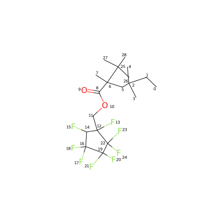 CCC(C)(C)CC(C)(C(=O)OCC1(F)C(F)C(F)(F)C(F)(F)C1(F)F)C(C)(C)C